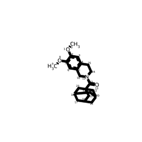 COc1cc2c(cc1OC)CN(C(=O)C13CC4CC(CC(C4)C1)C3)CC2